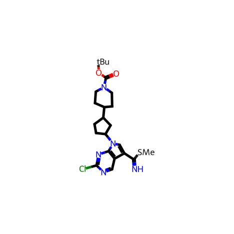 CSC(=N)c1cn(C2CCC(C3CCN(C(=O)OC(C)(C)C)CC3)C2)c2nc(Cl)ncc12